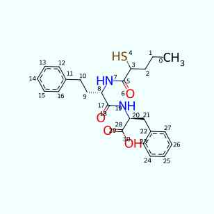 CCCC(S)C(=O)N[C@@H](CCc1ccccc1)C(=O)N[C@@H](Cc1ccccc1)C(=O)O